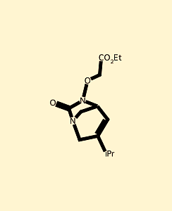 CCOC(=O)CON1C(=O)N2CC(C(C)C)=CC1C2